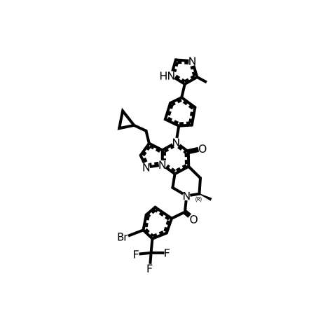 Cc1nc[nH]c1-c1ccc(-n2c(=O)c3c(n4ncc(CC5CC5)c24)CN(C(=O)c2ccc(Br)c(C(F)(F)F)c2)[C@H](C)C3)cc1